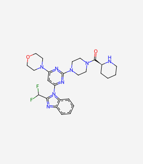 O=C([C@@H]1CCCCN1)N1CCN(c2nc(N3CCOCC3)cc(-n3c(C(F)F)nc4ccccc43)n2)CC1